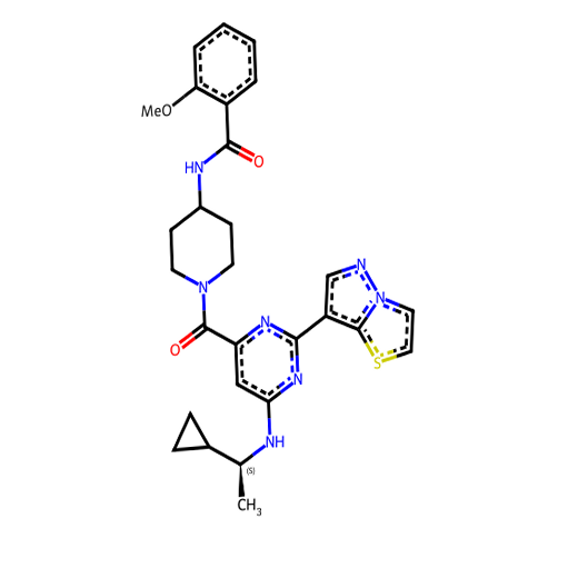 COc1ccccc1C(=O)NC1CCN(C(=O)c2cc(N[C@@H](C)C3CC3)nc(-c3cnn4ccsc34)n2)CC1